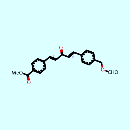 COC(=O)c1ccc(/C=C/C(=O)/C=C/c2ccc(COC=O)cc2)cc1